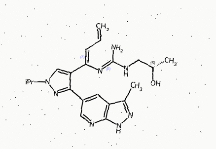 C=C/C=C(\N=C(/N)NC[C@H](C)O)c1cn(C(C)C)nc1-c1cnc2[nH]nc(C)c2c1